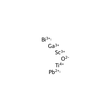 [Bi+3].[Ga+3].[O-2].[Pb+2].[Sc+3].[Ti+4]